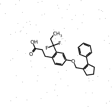 CCC(F)(F)c1cc(OCC2=C(c3ccccc3)CCC2)ccc1CCC(=O)O